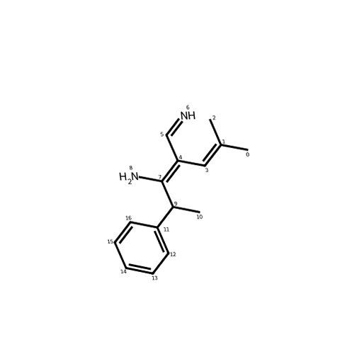 CC(C)=C/C(C=N)=C(/N)C(C)c1ccccc1